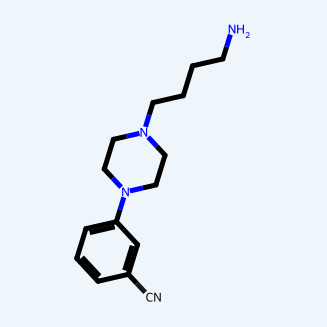 N#Cc1cccc(N2CCN(CCCCN)CC2)c1